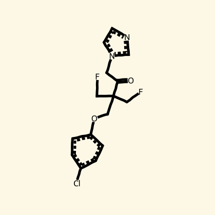 O=C(Cn1ccnc1)C(CF)(CF)COc1ccc(Cl)cc1